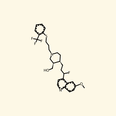 COc1ccc2nccc(C(F)CC[C@@H]3CCN(CCCSc4ccccc4C(F)(F)F)C[C@@H]3CO)c2c1